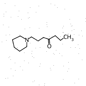 CCCC(=O)CCCN1CCCCC1